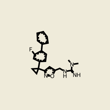 CN(C)C(=N)NCc1cc(C2(c3ccc(-c4ccccc4)c(F)c3)CC2)no1